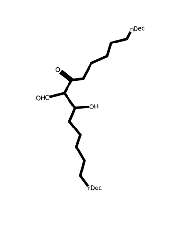 CCCCCCCCCCCCCCCC(=O)C(C=O)C(O)CCCCCCCCCCCCCCC